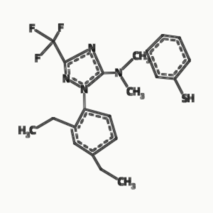 CCc1ccc(-n2nc(C(F)(F)F)nc2N(C)C)c(CC)c1.Sc1ccccc1